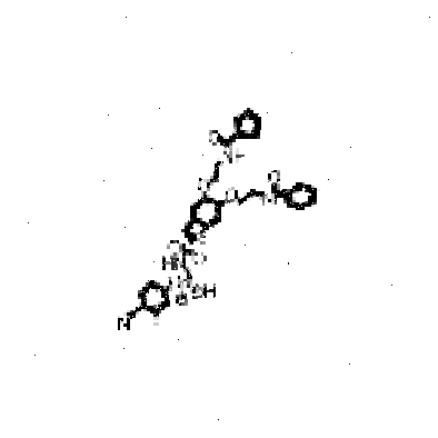 N#Cc1ccc(OP(=O)(O)CNS(=O)(=O)c2cc3cc(OCCNC(=O)c4ccccc4)c(OCCNC(=O)c4ccccc4)cc3s2)cc1F